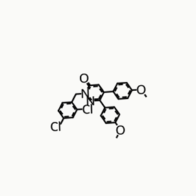 COc1ccc(-c2cc(=O)n(Cc3ccc(Cl)cc3Cl)nc2-c2ccc(OC)cc2)cc1